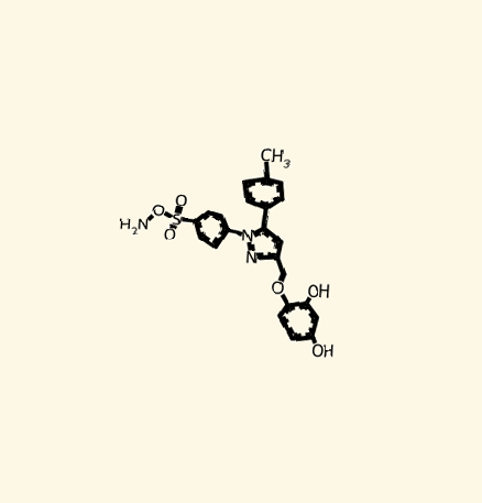 Cc1ccc(-c2cc(COc3ccc(O)cc3O)nn2-c2ccc(S(=O)(=O)ON)cc2)cc1